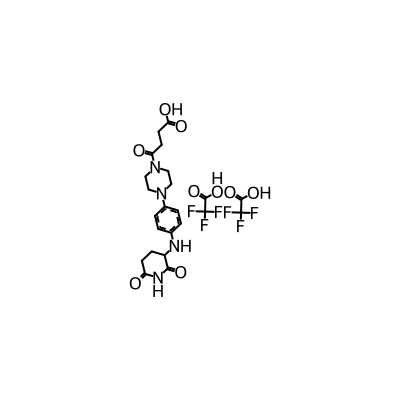 O=C(O)C(F)(F)F.O=C(O)C(F)(F)F.O=C(O)CCC(=O)N1CCN(c2ccc(NC3CCC(=O)NC3=O)cc2)CC1